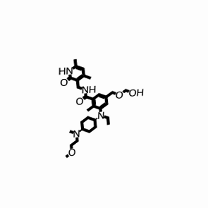 CCN(c1cc(COCO)cc(C(=O)NCc2c(C)cc(C)[nH]c2=O)c1C)[C@H]1CC[C@H](N(C)CCOC)CC1